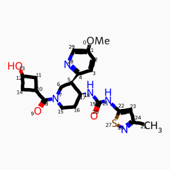 COc1ccc([C@@H]2CN(C(=O)C3CC(O)C3)CC[C@H]2NC(=O)Nc2cc(C)ns2)nc1